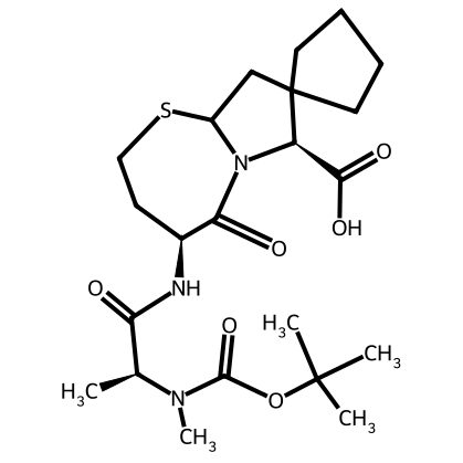 C[C@@H](C(=O)N[C@H]1CCSC2CC3(CCCC3)[C@@H](C(=O)O)N2C1=O)N(C)C(=O)OC(C)(C)C